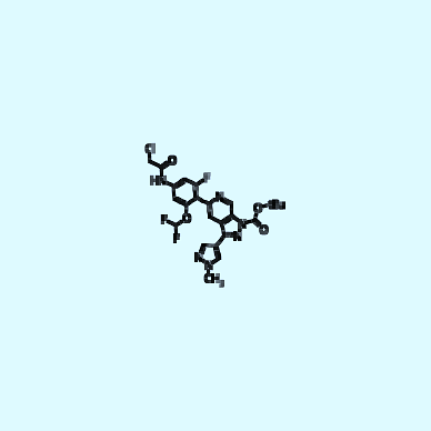 Cn1cc(-c2nn(C(=O)OC(C)(C)C)c3cnc(-c4c(F)cc(NC(=O)CCl)cc4OC(F)F)cc23)cn1